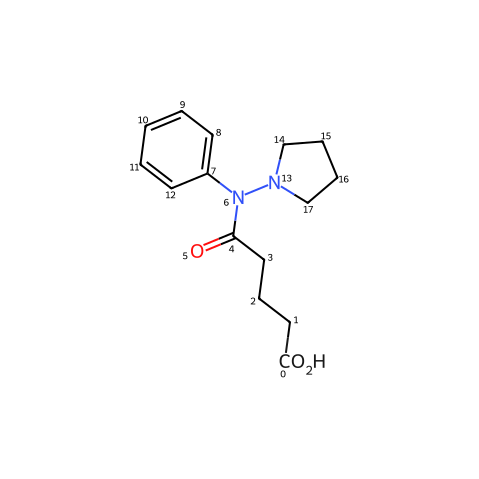 O=C(O)CCCC(=O)N(c1ccccc1)N1CCCC1